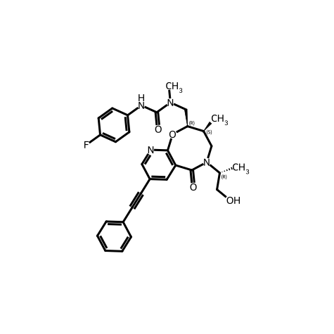 C[C@H](CO)N1C[C@H](C)[C@H](CN(C)C(=O)Nc2ccc(F)cc2)Oc2ncc(C#Cc3ccccc3)cc2C1=O